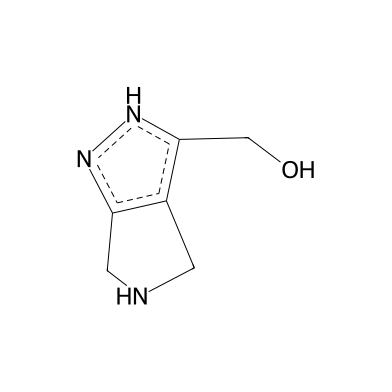 OCc1[nH]nc2c1CNC2